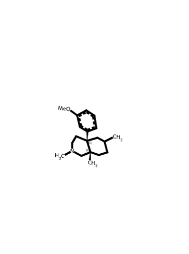 COc1cccc([C@]23CCN(C)C[C@@]2(C)CCC(C)C3)c1